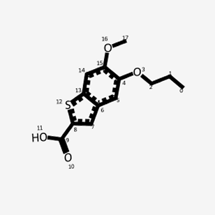 CCCOc1cc2cc(C(=O)O)sc2cc1OC